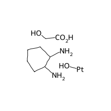 NC1CCCCC1N.O=C(O)CO.[OH][Pt]